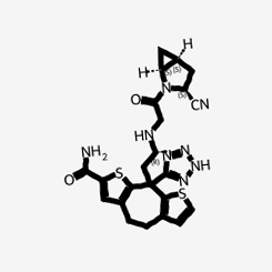 C[C@H](CC1(c2nn[nH]n2)c2sccc2CCc2cc(C(N)=O)sc21)NCC(=O)N1[C@H](C#N)C[C@@H]2C[C@@H]21